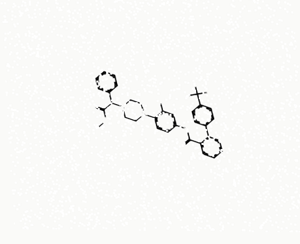 COC(=O)C(c1ccccc1)N1CCN(c2ccc(NC(=O)c3ccccc3-c3ccc(C(F)(F)F)cc3)cc2Cl)CC1